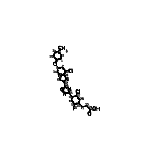 Cc1ccc(Oc2cc(Cl)c3nc(-c4nc(-c5cc(F)c(CCC(=O)O)cc5Cl)no4)cn3c2)cc1